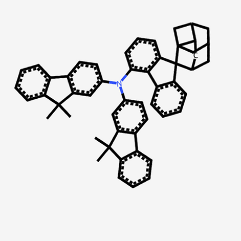 CC1(C)c2ccccc2-c2ccc(N(c3ccc4c(c3)C(C)(C)c3ccccc3-4)c3cccc4c3-c3ccccc3C43C4CC5CC6CC3(C5)C6C4)cc21